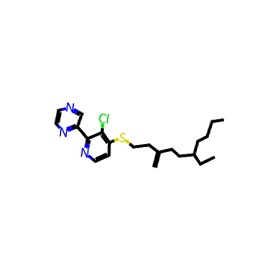 C=C(CCSc1ccnc(-c2cnccn2)c1Cl)CCC(CC)CCCC